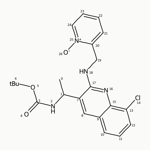 CC(NC(=O)OC(C)(C)C)c1cc2cccc(Cl)c2nc1NCc1cccc[n+]1[O-]